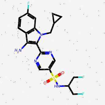 Nc1c(-c2ncc(S(=O)(=O)NC(CF)CF)cn2)n(CC2CC2)c2cc(F)ccc12